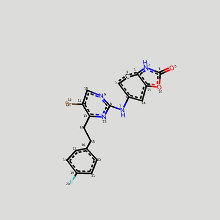 O=c1[nH]c2ccc(Nc3ncc(Br)c(CCc4ccc(F)cc4)n3)cc2o1